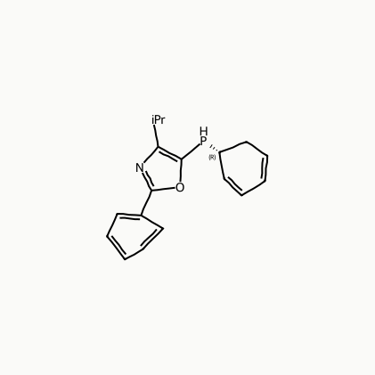 CC(C)c1nc(-c2ccccc2)oc1P[C@H]1C=CC=CC1